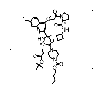 CCCCOC(=O)N1CCN(C(=O)[C@H](CCC(=O)OC(C)(C)C)NC(=O)c2cc(OCC(=O)N3CCC[C@H]3C(=O)NC3CCC3)c3ccc(C)cc3n2)CC1